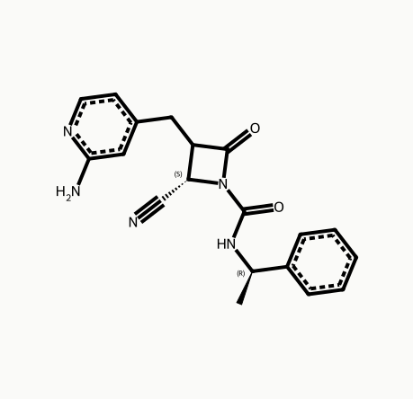 C[C@@H](NC(=O)N1C(=O)C(Cc2ccnc(N)c2)[C@H]1C#N)c1ccccc1